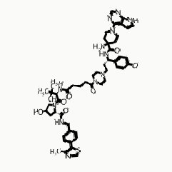 Cc1ncsc1-c1ccc(CNC(=O)[C@@H]2C[C@@H](O)CN2C(=O)[C@@H](NC(=O)CCCC(=O)N2CCN(CC[C@H](NC(=O)C3(N)CCN(c4ncnc5[nH]ccc45)CC3)c3ccc(Cl)cc3)CC2)C(C)(C)C)cc1